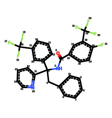 O=C(NC(Cc1ccccc1)(c1cccc(C(F)(F)F)c1)c1ccccn1)c1ccc(F)c(C(F)(F)F)c1